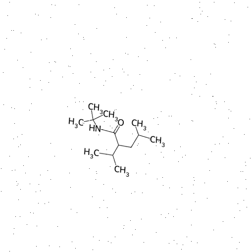 CC(C)CC(C(=O)NC(C)(C)C)C(C)C